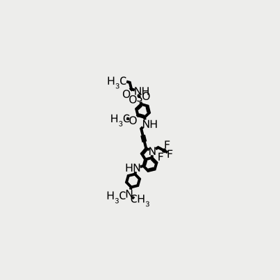 CCC(=O)NS(=O)(=O)c1ccc(NCC#Cc2cc3c(NC4CCC(N(C)C)CC4)cccc3n2CC(F)(F)F)c(OC)c1